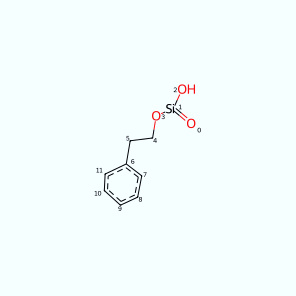 O=[Si](O)OCCc1ccccc1